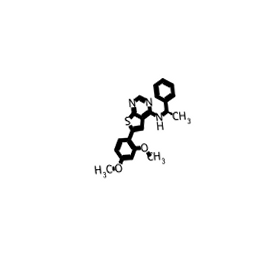 COc1ccc(-c2cc3c(N[C@H](C)c4ccccc4)ncnc3s2)c(OC)c1